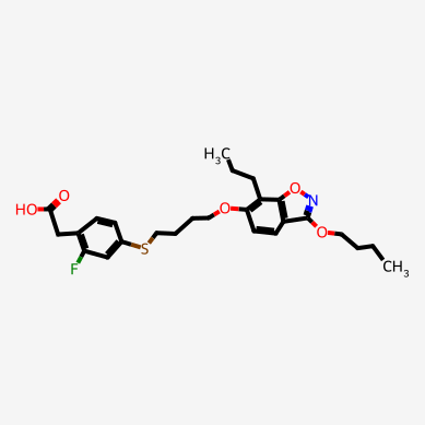 CCCCOc1noc2c(CCC)c(OCCCCSc3ccc(CC(=O)O)c(F)c3)ccc12